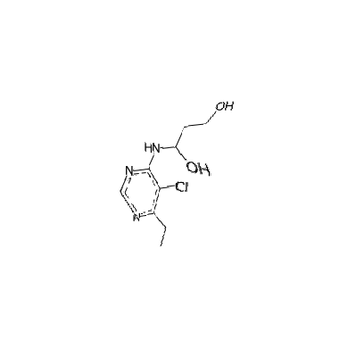 CCc1ncnc(NC(O)CCO)c1Cl